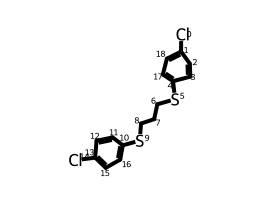 Clc1ccc(SCCCSc2ccc(Cl)cc2)cc1